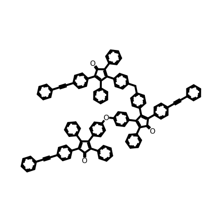 O=C1C(c2ccc(C#Cc3ccccc3)cc2)=C(c2ccccc2)C(c2ccc(Cc3ccc(C4=C(c5ccc(C#Cc6ccccc6)cc5)C(=O)C(c5ccccc5)=C4c4ccc(Oc5ccc(C6=C(c7ccccc7)C(=O)C(c7ccc(C#Cc8ccccc8)cc7)=C6c6ccccc6)cc5)cc4)cc3)cc2)=C1c1ccccc1